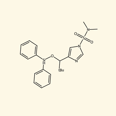 CN(C)S(=O)(=O)n1cnc(C(O[SiH](c2ccccc2)c2ccccc2)C(C)(C)C)c1